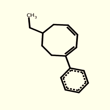 CCC1CC=CC=C(c2ccccc2)CC1